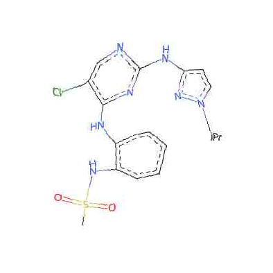 CC(C)n1ccc(Nc2ncc(Cl)c(Nc3ccccc3NS(C)(=O)=O)n2)n1